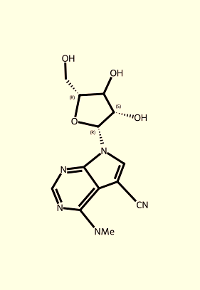 CNc1ncnc2c1c(C#N)cn2[C@@H]1O[C@H](CO)C(O)[C@@H]1O